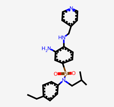 CCc1ccc(N(CC(C)C)S(=O)(=O)c2ccc(NCc3ccncc3)c(N)c2)cc1